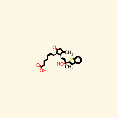 C=C1CC(=O)[C@H](C/C=C\CCCC(=O)O)[C@H]1/C=C/[C@@](C)(O)c1cc2ccccc2s1